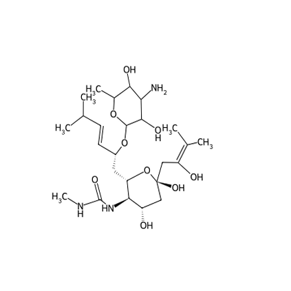 CNC(=O)N[C@H]1[C@H](C[C@H](/C=C/C(C)C)OC2OC(C)C(O)C(N)C2O)O[C@](O)(CC(O)=C(C)C)C[C@@H]1O